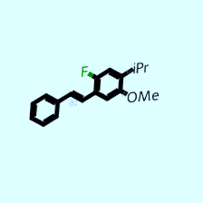 COc1cc(/C=C/c2ccccc2)c(F)cc1C(C)C